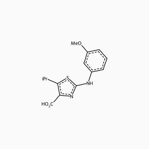 COc1cccc(Nc2nc(C(=O)O)c(C(C)C)s2)c1